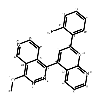 COc1nnc(-c2cc(-c3ccccc3F)nc3ncccc23)c2ccncc12